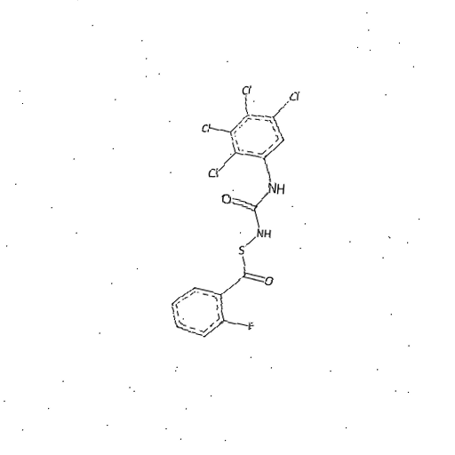 O=C(NSC(=O)c1ccccc1F)Nc1cc(Cl)c(Cl)c(Cl)c1Cl